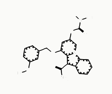 CCOc1cccc(COc2cc(OC(=O)N(C)C)cn3c2c(C(N)=O)c2ccccc23)c1